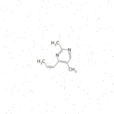 C/C=C\c1nc(C)ncc1C